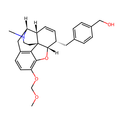 COCOc1ccc2c3c1O[C@H]1[C@@H](Cc4ccc(CO)cc4)C=C[C@H]4[C@@H](C2)N(C)CC[C@@]341